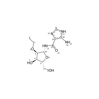 CCO[C@@H]1[C@H](O)[C@@H](CO)O[C@H]1NC(=O)c1nc[nH]c1N